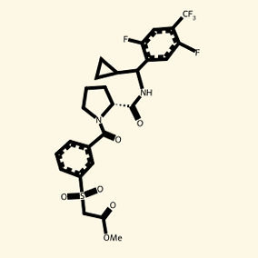 COC(=O)CS(=O)(=O)c1cccc(C(=O)N2CCC[C@@H]2C(=O)NC(c2cc(F)c(C(F)(F)F)cc2F)C2CC2)c1